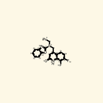 CC(C)CN(Cc1cc(=O)[nH]c2c(F)c(F)ccc12)c1nc2ccccc2o1